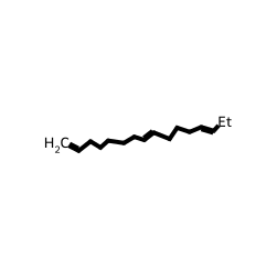 C=CCCCCCC=CCCCC=CCC